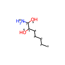 CCCCCC(O)C(N)O